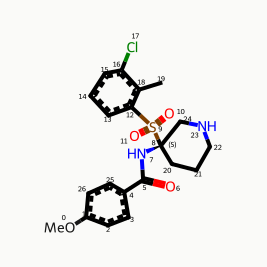 COc1ccc(C(=O)N[C@]2(S(=O)(=O)c3cccc(Cl)c3C)CCCNC2)cc1